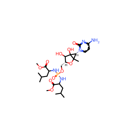 COC(=O)C(CC(C)C)NP(=O)(NC(CC(C)C)C(=O)OC)OC[C@H]1OC2(C)[C@@H](n3ccc(N)nc3=O)C2(O)C1O